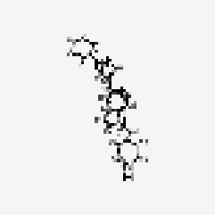 c1nn(C2CCCCO2)cc1-c1cc2ccn(CC3CCNCC3)c2cn1